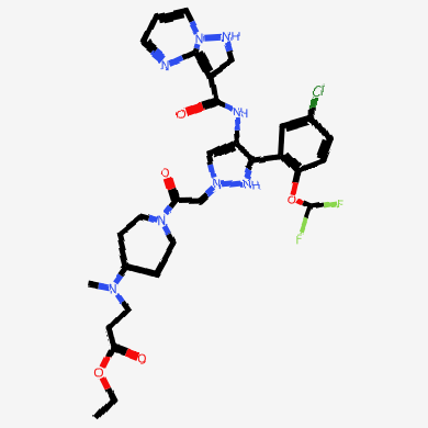 CCOC(=O)CCN(C)C1CCN(C(=O)CN2C=C(NC(=O)C3=C4N=CC=CN4NC3)C(c3cc(Cl)ccc3OC(F)F)N2)CC1